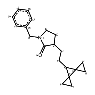 O=C1C(CCC2C3(CC3)C23CC3)CCN1Cc1ccccc1